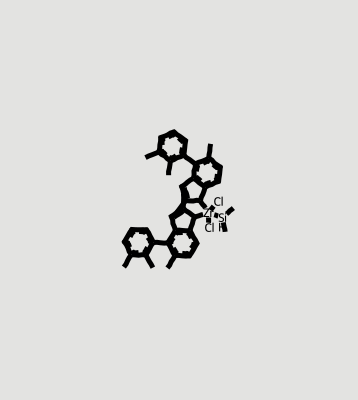 CC1=Cc2c(ccc(C)c2-c2cccc(C)c2C)[CH]1[Zr]([Cl])([Cl])([CH]1C(C)=Cc2c1ccc(C)c2-c1cccc(C)c1C)[SiH](C)C